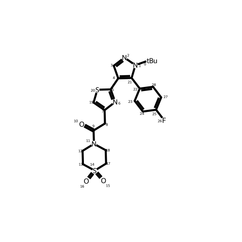 CC(C)(C)n1ncc(-c2nc(CC(=O)N3CCS(=O)(=O)CC3)cs2)c1-c1ccc(F)cc1